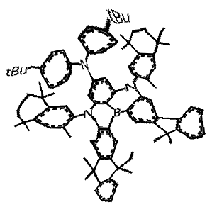 Cc1cc2c(cc1N1c3cc4c(cc3B3c5cc6c(cc5N(c5cc7c(cc5C)C(C)(C)CCC7(C)C)c5cc(N(c7ccc(C(C)(C)C)cc7)c7ccc(C(C)(C)C)cc7)cc1c53)C(C)(C)c1ccccc1C6(C)C)C(C)(C)c1ccccc1-4)C(C)(C)CCC2(C)C